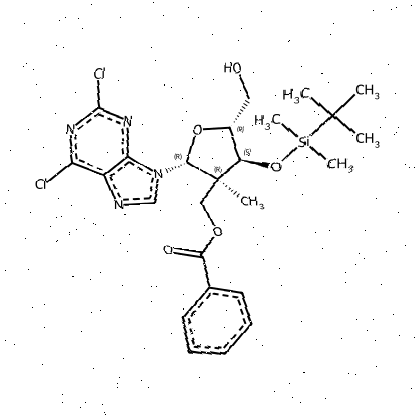 CC(C)(C)[Si](C)(C)O[C@@H]1[C@@H](CO)O[C@@H](n2cnc3c(Cl)nc(Cl)nc32)[C@]1(C)COC(=O)c1ccccc1